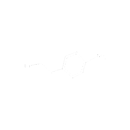 CCC(C)SSc1ccc([N+](=O)[O-])cc1